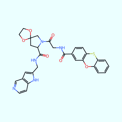 O=C(NCC(=O)N1CC2(CC1C(=O)NCc1cc3cnccc3[nH]1)OCCO2)c1ccc2c(c1)Oc1ccccc1S2